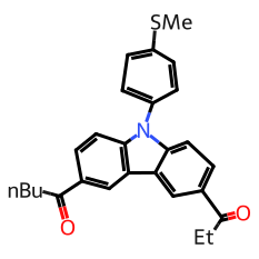 CCCCC(=O)c1ccc2c(c1)c1cc(C(=O)CC)ccc1n2-c1ccc(SC)cc1